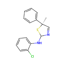 C[C@]1(c2ccccc2)C=NC(Nc2ccccc2Cl)S1